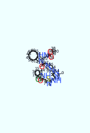 Cc1nc(Nc2ncc(C(=O)Nc3c(C)cccc3Cl)s2)cc(N2CCN(CC(=O)N(CCNC(=O)OC(C)(C)C)Cc3ccccccccc3)CC2)n1